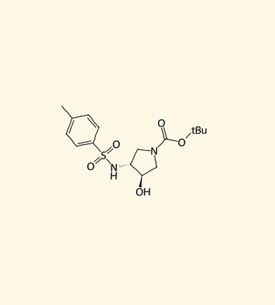 Cc1ccc(S(=O)(=O)N[C@@H]2CN(C(=O)OC(C)(C)C)C[C@H]2O)cc1